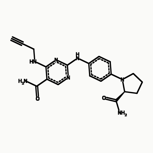 C#CCNc1nc(Nc2ccc(N3CCC[C@H]3C(N)=O)cc2)ncc1C(N)=O